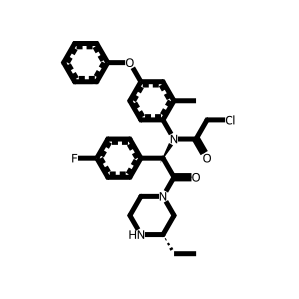 CC[C@H]1CN(C(=O)[C@@H](c2ccc(F)cc2)N(C(=O)CCl)c2ccc(Oc3ccccc3)cc2C)CCN1